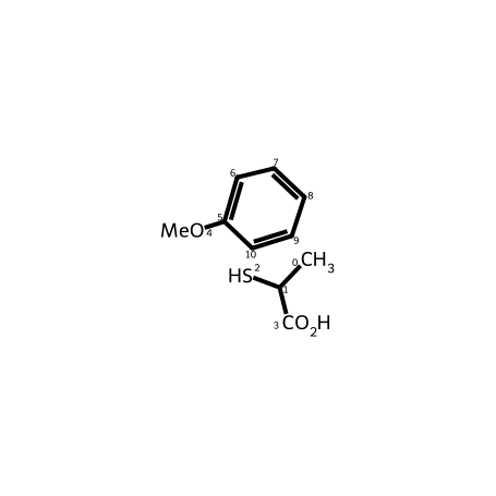 CC(S)C(=O)O.COc1ccccc1